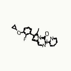 Cc1c(-c2cccc(OC3CC3)c2F)cc2cnn(-c3ccccn3)c(=O)n12